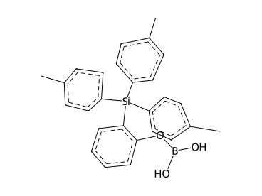 Cc1ccc([Si](c2ccc(C)cc2)(c2ccc(C)cc2)c2ccccc2OB(O)O)cc1